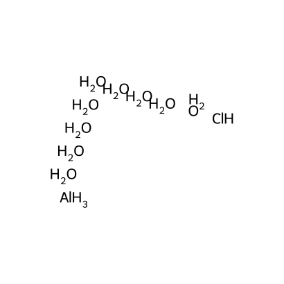 Cl.O.O.O.O.O.O.O.O.O.[AlH3]